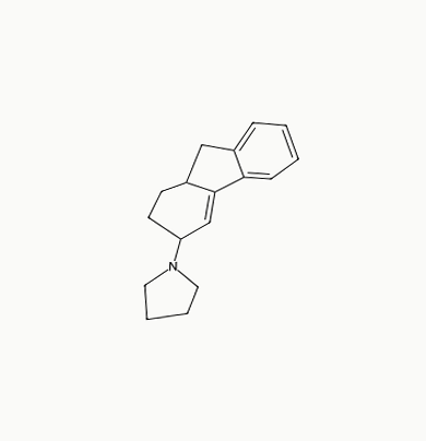 C1=C2c3ccccc3CC2CCC1N1CCCC1